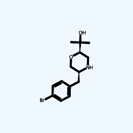 CC(C)(O)[C@H]1CN[C@@H](Cc2ccc(Br)cc2)CO1